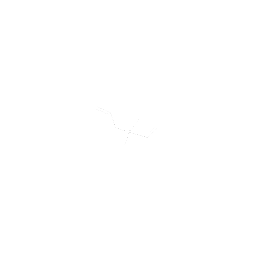 C=CC[Si](C)(C)C=C